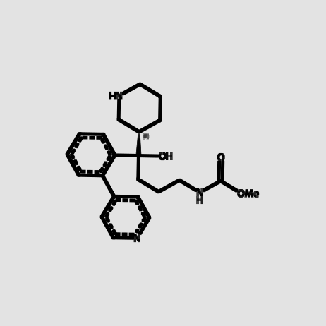 COC(=O)NCCCC(O)(c1ccccc1-c1ccncc1)[C@@H]1CCCNC1